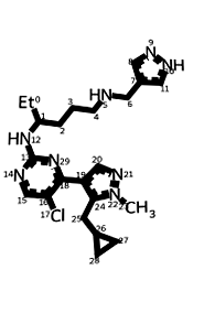 CCC(CCCNCc1cn[nH]c1)Nc1ncc(Cl)c(-c2cnn(C)c2CC2CC2)n1